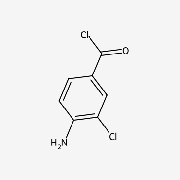 Nc1ccc(C(=O)Cl)cc1Cl